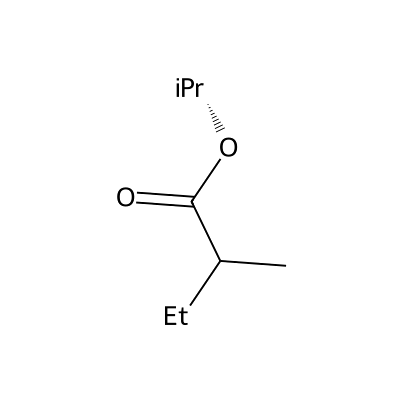 [CH2][C@@H](C)OC(=O)C(C)CC